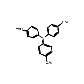 CC(=O)Oc1ccc([S+](c2ccc(OC(C)=O)cc2)c2ccc(OC(C)=O)cc2)cc1